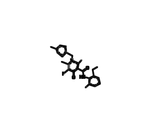 CCc1cccc(C)c1NC(=O)c1c(C)n(Cc2ccc(C)cc2)c(C)c(F)c1=O